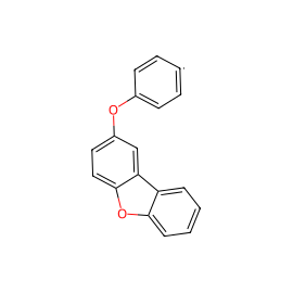 [c]1ccc(Oc2ccc3oc4ccccc4c3c2)cc1